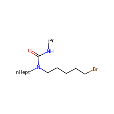 CCCCCCCN(CCCCCBr)C(=O)NC(C)C